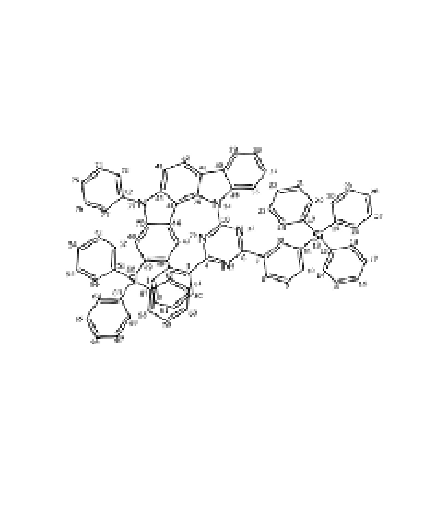 c1ccc(-c2nc(-c3cccc([Si](c4ccccc4)(c4ccccc4)c4ccccc4)c3)nc(-n3c4ccccc4c4ccc5c(c6ccc([Si](c7ccccc7)(c7ccccc7)c7ccccc7)cc6n5-c5ccccc5)c43)n2)cc1